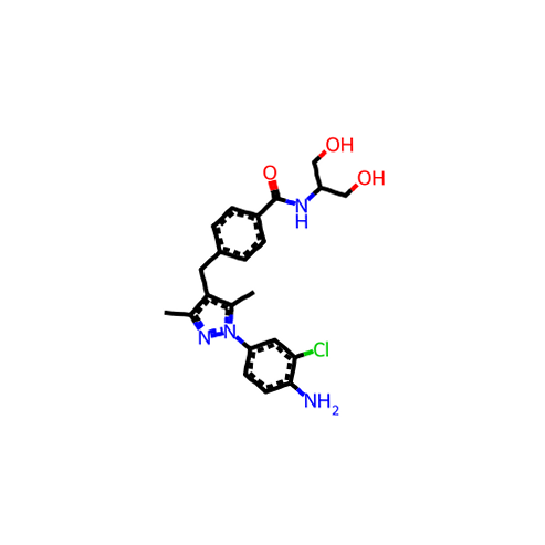 Cc1nn(-c2ccc(N)c(Cl)c2)c(C)c1Cc1ccc(C(=O)NC(CO)CO)cc1